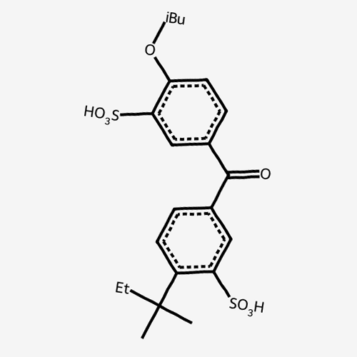 CCC(C)Oc1ccc(C(=O)c2ccc(C(C)(C)CC)c(S(=O)(=O)O)c2)cc1S(=O)(=O)O